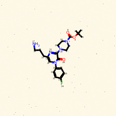 CC(C)(C)OC(=O)N1CCN(c2nc(CCCN)cn(-c3ccc(F)cc3)c2=O)CC1